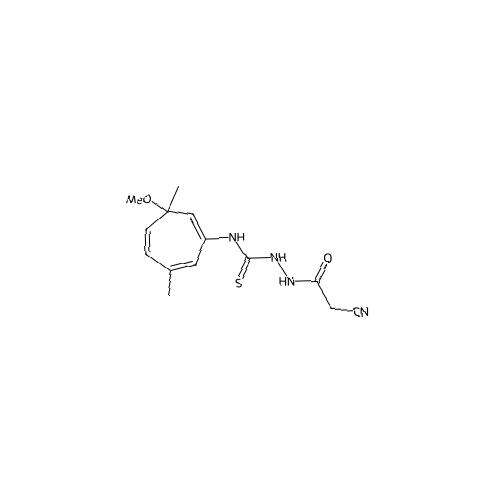 COC1(C)C=CC(C)=CC(NC(=S)NNC(=O)CC#N)=C1